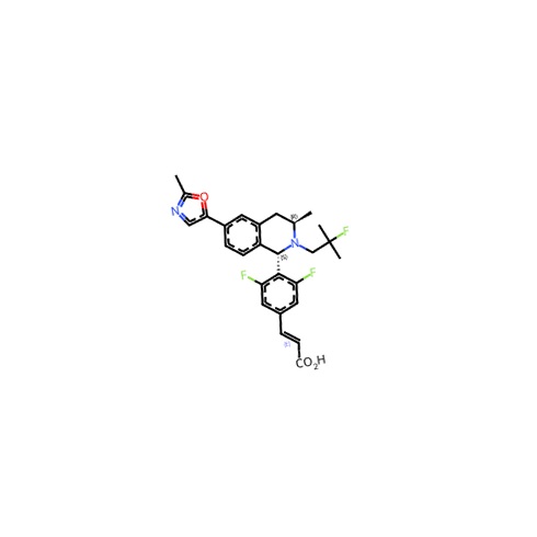 Cc1ncc(-c2ccc3c(c2)C[C@@H](C)N(CC(C)(C)F)[C@@H]3c2c(F)cc(/C=C/C(=O)O)cc2F)o1